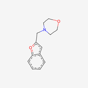 c1ccc2oc(CN3CCOCC3)cc2c1